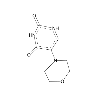 O=c1[nH]cc(N2CCOCC2)c(=O)[nH]1